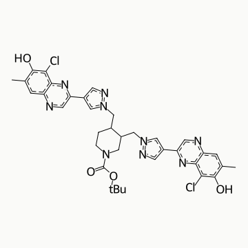 Cc1cc2ncc(-c3cnn(CC4CCN(C(=O)OC(C)(C)C)CC4Cn4cc(-c5cnc6cc(C)c(O)c(Cl)c6n5)cn4)c3)nc2c(Cl)c1O